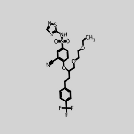 CCOCCOCC(CCc1ccc(C(F)(F)F)cc1)Oc1ccc(S(=O)(=O)Nc2ncns2)cc1C#N